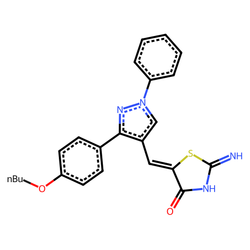 CCCCOc1ccc(-c2nn(-c3ccccc3)cc2/C=C2\SC(=N)NC2=O)cc1